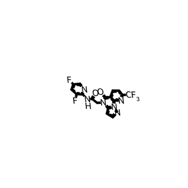 O=C(Cn1c(=O)c2ccc(C(F)(F)F)nc2n2nccc12)Nc1ncc(F)cc1F